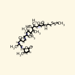 CCSSCCNC(=O)/C=C(\C)C[C@H](C)C(O)[C@H](C)C(=O)[C@H](C)/C=C(C)/C=C/CC(C)/C=C(C)\C=C\[C@@H]1OC(=O)C=C[C@@H]1C